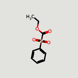 CCOC(=O)S(=O)(=O)c1ccccc1